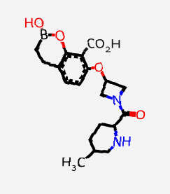 CC1CCC(C(=O)N2CC(Oc3ccc4c(c3C(=O)O)OB(O)CC4)C2)NC1